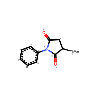 CNC1CC(=O)N(c2ccccc2)C1=O